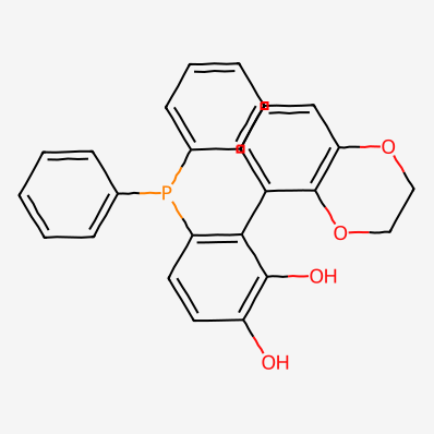 Oc1ccc(P(c2ccccc2)c2ccccc2)c(-c2cccc3c2OCCO3)c1O